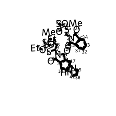 CCOP(=S)(OCC)SC(CCl)N1C(=O)c2ccccc2C1=O.COP(=S)(OC)SCN1C(=O)c2ccccc2C1=O.c1cn[nH]c1